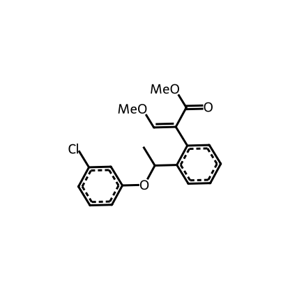 COC=C(C(=O)OC)c1ccccc1C(C)Oc1cccc(Cl)c1